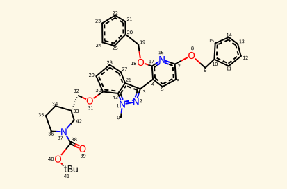 Cn1nc(-c2ccc(OCc3ccccc3)nc2OCc2ccccc2)c2cccc(OC[C@H]3CCCN(C(=O)OC(C)(C)C)C3)c21